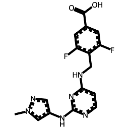 Cn1cc(Nc2nccc(NCc3c(F)cc(C(=O)O)cc3F)n2)cn1